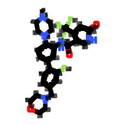 CN1CCN(c2ccc(-c3ccc(CN4CCOCC4)cc3F)cc2NC(=O)c2c[nH]c(=O)cc2C(F)(F)F)CC1